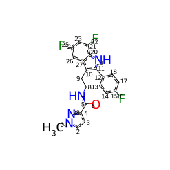 Cn1ccc(C(=O)NCCc2c(-c3ccc(F)cc3)[nH]c3c(F)cc(F)cc23)n1